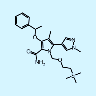 Cc1c(OC(C)c2ccccc2)c(C(N)=O)n(COCC[Si](C)(C)C)c1-c1cnn(C)c1